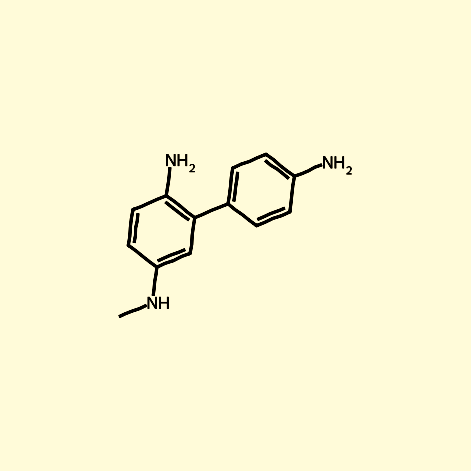 CNc1ccc(N)c(-c2ccc(N)cc2)c1